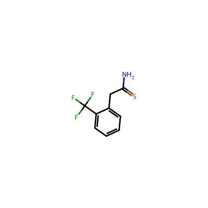 NC(=S)Cc1ccccc1C(F)(F)F